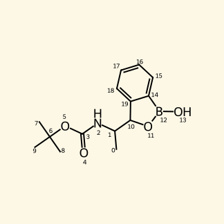 CC(NC(=O)OC(C)(C)C)C1OB(O)c2ccccc21